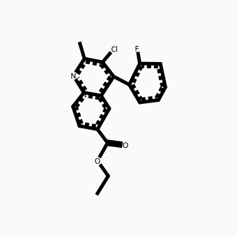 CCOC(=O)c1ccc2nc(C)c(Cl)c(-c3ccccc3F)c2c1